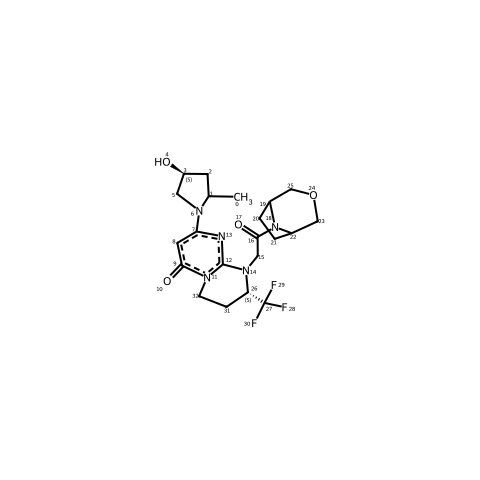 CC1C[C@H](O)CN1c1cc(=O)n2c(n1)N(CC(=O)N1C3CCC1COC3)[C@H](C(F)(F)F)CC2